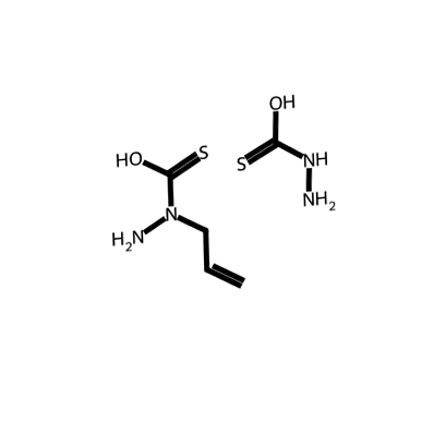 C=CCN(N)C(O)=S.NNC(O)=S